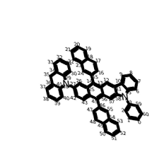 c1ccc(-n2c3ccccc3c3cc4c(-c5ccc6ccccc6c5)c5cc(N6c7ccccc7Cc7ccccc76)ccc5c(-c5ccc6ccccc6c5)c4cc32)cc1